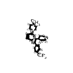 CN1CCN(c2ccc3nc(-c4ccc(C(F)(F)F)cc4)c(-c4ccncc4)n3n2)CC1